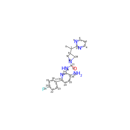 CC(c1ncccn1)C1CN(C(=O)Nc2nc(-c3ccc(F)cc3)ccc2N)C1